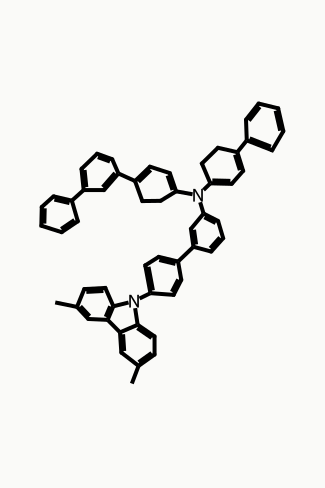 Cc1ccc2c(c1)c1cc(C)ccc1n2-c1ccc(-c2cccc(N(C3=CC=C(c4ccccc4)CC3)C3=CC=C(c4cccc(-c5ccccc5)c4)CC3)c2)cc1